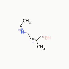 B=C/C(C)=C\C/N=C\C